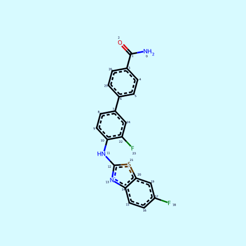 NC(=O)c1ccc(-c2ccc(Nc3nc4ccc(F)cc4s3)c(F)c2)cc1